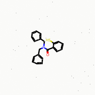 O=C(c1ccccc1S)N(Cc1ccccc1)Cc1ccccc1